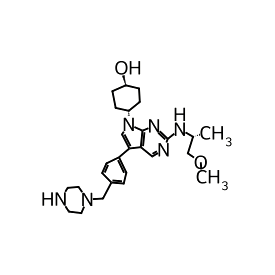 COC[C@@H](C)Nc1ncc2c(-c3ccc(CN4CCNCC4)cc3)cn([C@H]3CC[C@H](O)CC3)c2n1